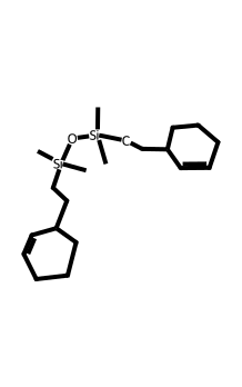 C[Si](C)(CCC1C=CCCC1)O[Si](C)(C)CCC1C=CCCC1